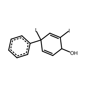 OC1C=CC(I)(c2ccccc2)C=C1I